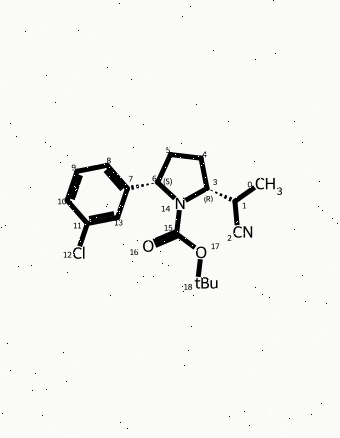 CC(C#N)[C@H]1CC[C@@H](c2cccc(Cl)c2)N1C(=O)OC(C)(C)C